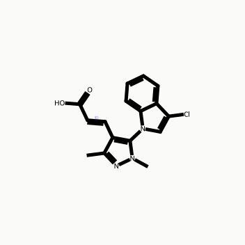 Cc1nn(C)c(-n2cc(Cl)c3ccccc32)c1/C=C/C(=O)O